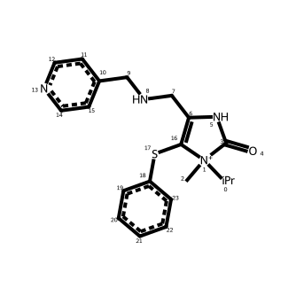 CC(C)[N+]1(C)C(=O)NC(CNCc2ccncc2)=C1Sc1ccccc1